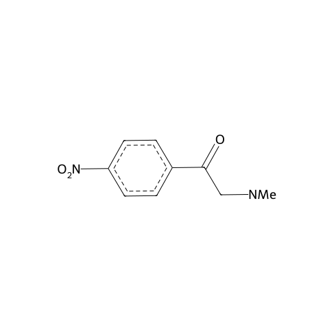 CNCC(=O)c1ccc([N+](=O)[O-])cc1